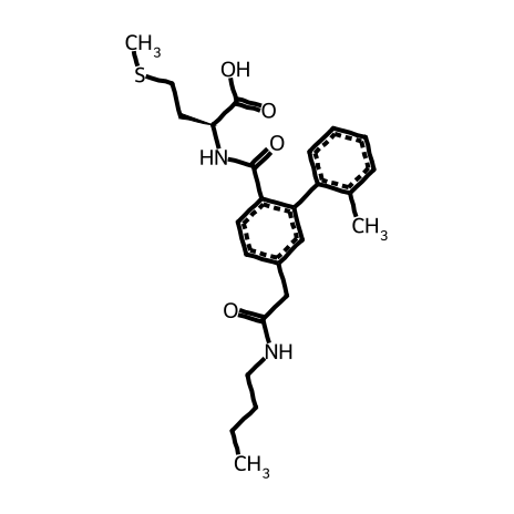 CCCCNC(=O)Cc1ccc(C(=O)N[C@@H](CCSC)C(=O)O)c(-c2ccccc2C)c1